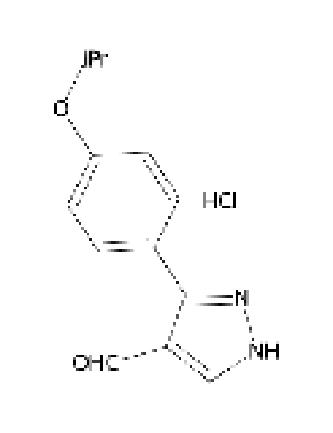 CC(C)Oc1ccc(-c2n[nH]cc2C=O)cc1.Cl